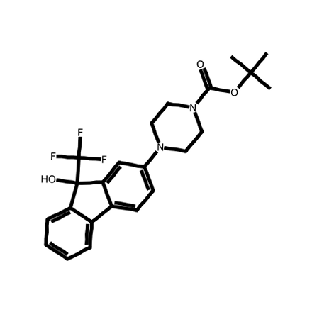 CC(C)(C)OC(=O)N1CCN(c2ccc3c(c2)C(O)(C(F)(F)F)c2ccccc2-3)CC1